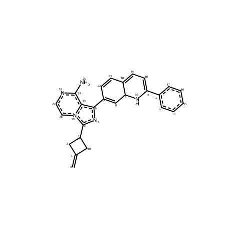 C=C1CC(c2nc(C3=CC4NC(c5ccccc5)=CC=C4C=C3)c3c(N)nccn23)C1